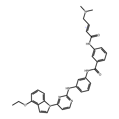 CCOc1cccc2c1ccn2-c1ccnc(Nc2cccc(NC(=O)c3cccc(NC(=O)/C=C/CN(C)C)c3)c2)n1